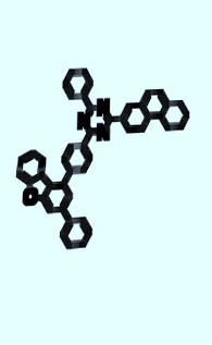 C1=Cc2c(ccc3cc(-c4nc(-c5ccccc5)nc(-c5ccc(-c6cc(-c7ccccc7)cc7oc8ccccc8c67)cc5)n4)ccc23)CC1